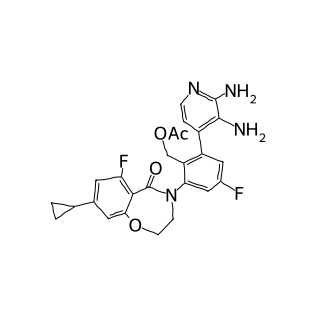 CC(=O)OCc1c(-c2ccnc(N)c2N)cc(F)cc1N1CCOc2cc(C3CC3)cc(F)c2C1=O